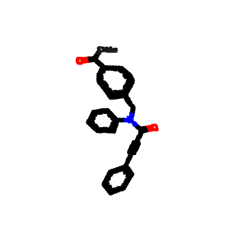 COC(=O)c1ccc(CN(C(=O)C#Cc2ccccc2)c2ccccc2)cc1